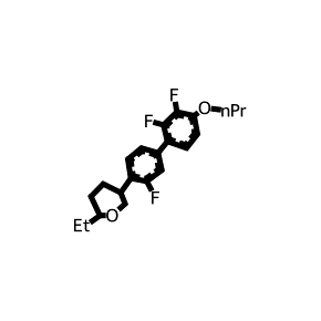 CCCOc1ccc(-c2ccc(C3CCC(CC)OC3)c(F)c2)c(F)c1F